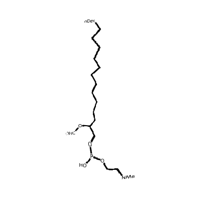 CCCCCCCCCCCCCCCCCCCCCC(COP(O)OCCNC)OC=O